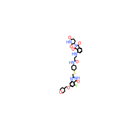 O=C1CCC(N2C(=O)c3cccc(NCCC(=O)NC4CCC(SCc5nc6cc(OCC7CCOCC7)cc(F)c6c(=O)[nH]5)CC4)c3C2=O)C(=O)N1